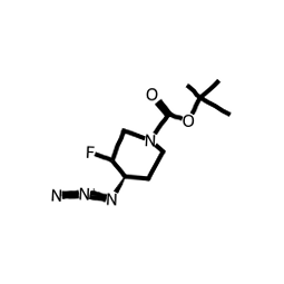 CC(C)(C)OC(=O)N1CC[C@@H](N=[N+]=[N-])C(F)C1